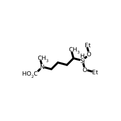 CCO[SiH](OCC)C(C)CCCN(C)C(=O)O